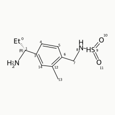 CC[C@@H](N)c1ccc(CN[SH](=O)=O)c(C)c1